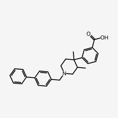 CC1CN(Cc2ccc(-c3ccccc3)cc2)CCC1(C)c1cccc(C(=O)O)c1